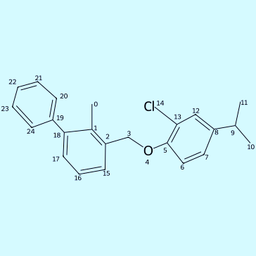 Cc1c(COc2ccc(C(C)C)cc2Cl)cccc1-c1ccccc1